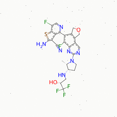 C[C@H]1[C@@H](NC[C@@H](O)C(F)(F)F)CCN1c1ncc2c3c(c(-c4ncc(F)c5sc(N)c(C#N)c45)c(F)c2n1)COC3